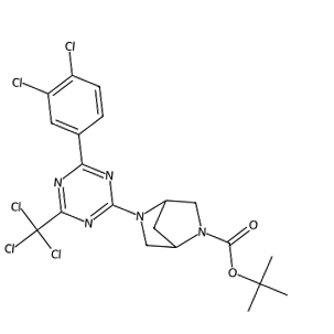 CC(C)(C)OC(=O)N1CC2CC1CN2c1nc(-c2ccc(Cl)c(Cl)c2)nc(C(Cl)(Cl)Cl)n1